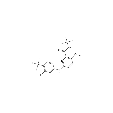 COc1ccc(Nc2ccc(C(F)(F)F)c(F)c2)nc1C(=O)NC(C)(C)C